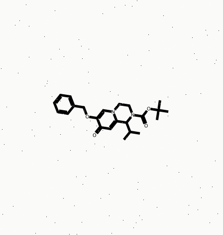 CC(C)C1c2cc(=O)c(OCc3ccccc3)cn2CCN1C(=O)OC(C)(C)C